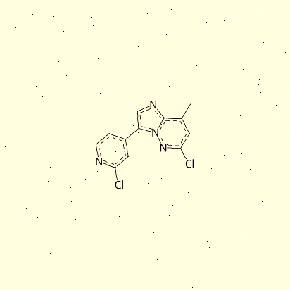 Cc1cc(Cl)nn2c(-c3ccnc(Cl)c3)cnc12